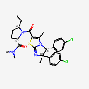 CC[C@@H]1CC[C@@H](C(=O)N(C)C)N1C(=O)C1=C(C)N2C(=N[C@@](C)(c3ccc(Cl)cc3)[C@H]2c2ccc(Cl)cc2)S1